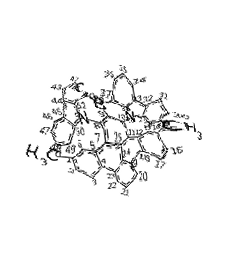 Cc1ccc2c(c1)c1c3c4c(c5c6cc(C)ccc6c6cccc2c6c15)-n1c2ccccc2c2cccc(c21)B4c1cccc2c4ccccc4n-3c12